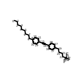 CCCCCCCCCc1ccc(C#Cc2ccc(CCCCC(F)(F)F)cc2)cc1